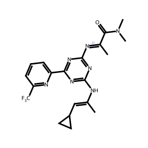 CC(=CC1CC1)Nc1nc(/N=C(\C)C(=O)N(C)C)nc(-c2cccc(C(F)(F)F)n2)n1